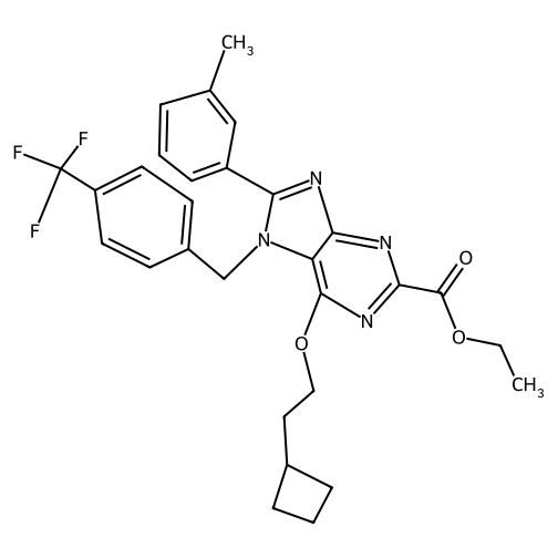 CCOC(=O)c1nc(OCCC2CCC2)c2c(n1)nc(-c1cccc(C)c1)n2Cc1ccc(C(F)(F)F)cc1